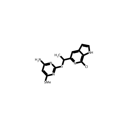 CSc1cc(N)nc(SC(C)c2cc3cc[nH]c3c(Cl)n2)n1